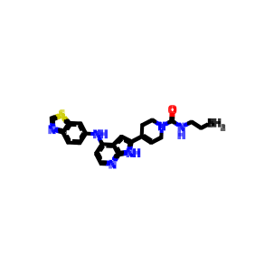 BCCNC(=O)N1CC=C(c2cc3c(Nc4ccc5ncsc5c4)ccnc3[nH]2)CC1